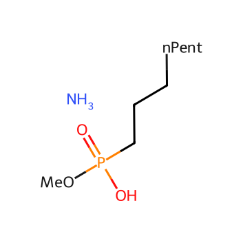 CCCCCCCCP(=O)(O)OC.N